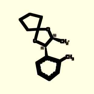 [CH2][C@@H]1OC2(CCCC2)O[C@H]1c1ccccc1C